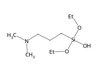 CCO[Si](O)(CCCN(C)C)OCC